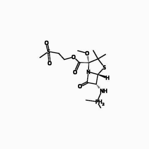 CO[C@@]1(C(=O)OCCS(C)(=O)=O)N2C(=O)[C@@H](N[PH2](C)C)[C@H]2SC1(C)C